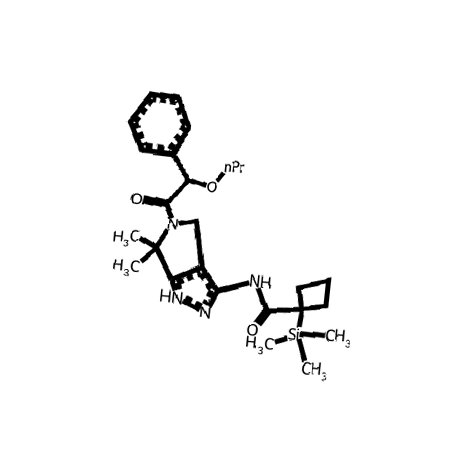 CCCOC(C(=O)N1Cc2c(NC(=O)C3([Si](C)(C)C)CCC3)n[nH]c2C1(C)C)c1ccccc1